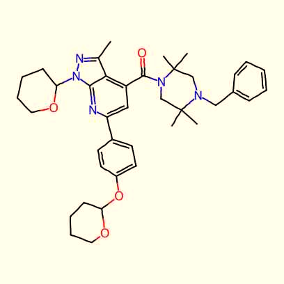 Cc1nn(C2CCCCO2)c2nc(-c3ccc(OC4CCCCO4)cc3)cc(C(=O)N3CC(C)(C)N(Cc4ccccc4)CC3(C)C)c12